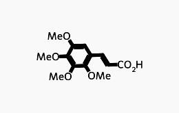 COc1cc(C=CC(=O)O)c(OC)c(OC)c1OC